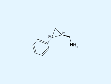 NC[C@@H]1C[C@H]1c1ccccc1